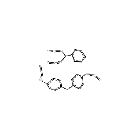 O=C=NC(N=C=O)c1ccccc1.O=C=Nc1ccc(Cc2ccc(N=C=O)cc2)cc1